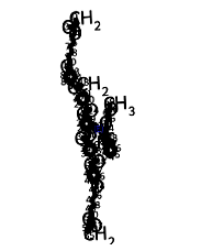 C=CC(=O)OCCCCCCOc1ccc(OC(=C)[C@H]2CC[C@H](C(=O)Oc3ccc(OC(=O)[C@H]4CC[C@H](C(=O)Oc5ccc(OCCCCCCOC(=O)C=C)cc5)CC4)c(/C=N/N(COCCOC)c4nc5ccccc5s4)c3)CC2)cc1